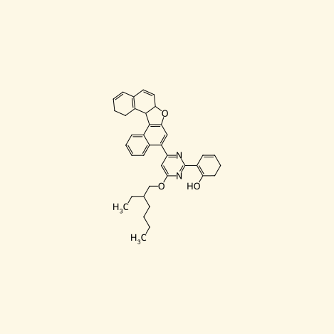 CCCCC(CC)COc1cc(-c2cc3c(c4ccccc24)C2C4=C(C=CCC4)C=CC2O3)nc(C2=C(O)CCC=C2)n1